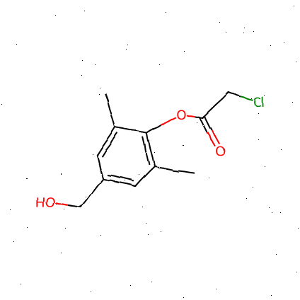 Cc1cc(CO)cc(C)c1OC(=O)CCl